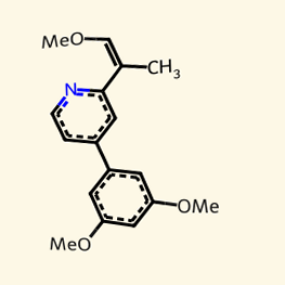 CO/C=C(/C)c1cc(-c2cc(OC)cc(OC)c2)ccn1